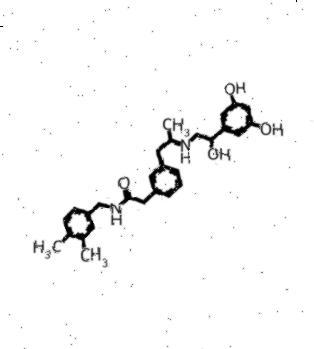 Cc1ccc(CNC(=O)Cc2cccc(CC(C)NCC(O)c3cc(O)cc(O)c3)c2)cc1C